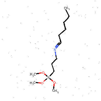 CCCCC/C=N/CCC[Si](OC)(OC)OC